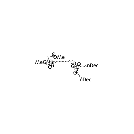 CCCCCCCCCCCCCCCC(=O)OCC(COC(=O)CCCCCCCCCCCCCCC)OC(=O)CC(C)CCCCCCCCCCCC(=O)Oc1c(C/C=C(\C)CCC(=O)OC)c(OC)c(C)c2c1C(=O)OC2